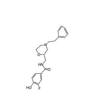 O=C(NCC1CN(CCc2ccccc2)CCO1)c1ccc(O)c(F)c1